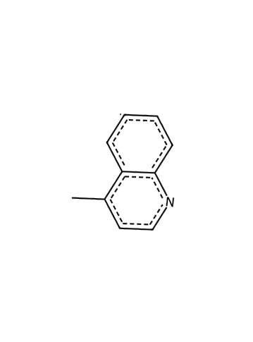 Cc1ccnc2cc[c]cc12